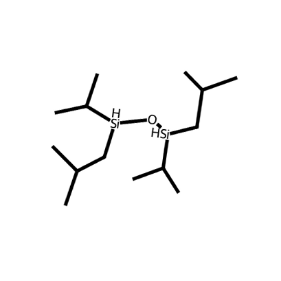 CC(C)C[SiH](O[SiH](CC(C)C)C(C)C)C(C)C